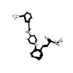 O=C(/C=C/c1ccccc1N1CCC(NCC2=CCCC(C(F)(F)F)=C2)CC1)NO